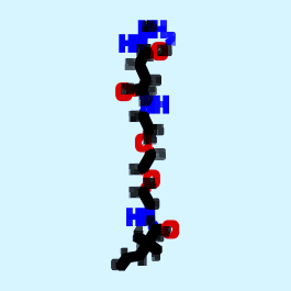 CCCC(C)(C)C(=O)NCCOCCOCCNC(=O)CCC(=O)NN